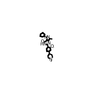 COc1cc(C2=CCN(C)CC2)ccc1-c1nc2c(C)nn(-c3ccccc3)c2c(=O)[nH]1